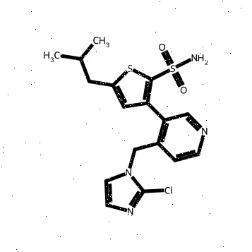 CC(C)Cc1cc(-c2cnccc2Cn2ccnc2Cl)c(S(N)(=O)=O)s1